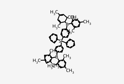 CC1=CC(C)C(B(c2ccc([Si](c3ccccc3)(c3ccccc3)c3ccc(B(c4c(C)cc(C)cc4C)c4c(C)cc(C)cc4C)cc3)cc2)c2c(C)cc(C)cc2C)C(C)=C1